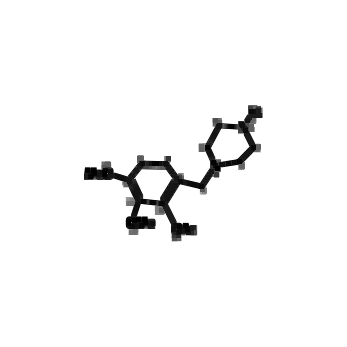 CCN1CCN(Cc2ccc(OC)c(OC)c2OC(C)=O)CC1